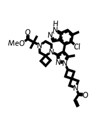 C=CC(=O)N1CC2(CC(n3nc(N4CCN(C(C)(C)C(=O)OC)CC45CCC5)c(-c4c(Cl)c(C)cc5[nH]ncc45)c3C)C2)C1